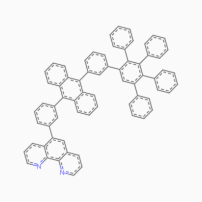 c1ccc(-c2cc(-c3cccc(-c4c5ccccc5c(-c5cccc(-c6cc7cccnc7c7ncccc67)c5)c5ccccc45)c3)c(-c3ccccc3)c(-c3ccccc3)c2-c2ccccc2)cc1